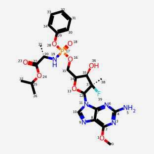 COc1nc(N)nc2c1ncn2C1OC(COP(=O)(N[C@@H](C)C(=O)OC(C)C)Oc2ccccc2)[C@@H](O)[C@@]1(C)F